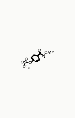 CON(C)C(=O)c1ccc(OS(=O)(=O)C(F)(F)F)cc1